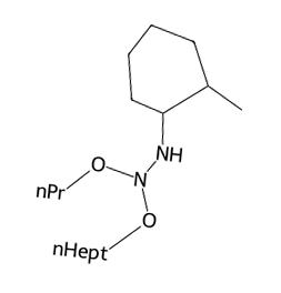 CCCCCCCON(NC1CCCCC1C)OCCC